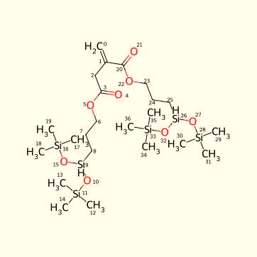 C=C(CC(=O)OCCC[SiH](O[Si](C)(C)C)O[Si](C)(C)C)C(=O)OCCC[SiH](O[Si](C)(C)C)O[Si](C)(C)C